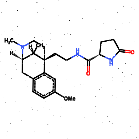 COc1ccc2c(c1)[C@@]1(CCNC(=O)[C@@H]3CCC(=O)N3)CCN(C)[C@H](C2)[C@@H]1C